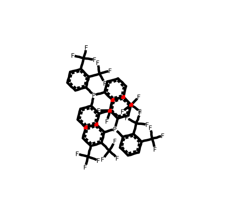 FC(F)(F)c1cccc(P(c2ccccc2-c2ccccc2P(c2cccc(C(F)(F)F)c2C(F)(F)F)c2cccc(C(F)(F)F)c2C(F)(F)F)c2cccc(C(F)(F)F)c2C(F)(F)F)c1C(F)(F)F